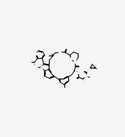 CCn1c(-c2cccnc2[C@H](C)OC)c2c3cc(ccc31)-c1cc(O)cc(c1)C[C@H](NC(=O)[C@H](C(C)C)N(C)C(=O)[C@H]1C[C@H]1F)C(=O)N1CCC[C@H](N1)C(=O)OCC(C)(C)C2